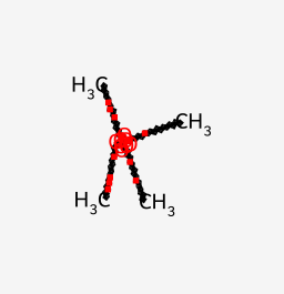 CCCCCCCCCCCCCCCCCC(=O)OC(OC(=O)CCCCCCCCCCCCCCCCC)(OC(=O)CCCCCCCCCCCCCCCCC)OC(=O)CCCCCCCCCCCCCCCCC